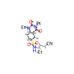 CC[C@@H](CCC#N)NS(=O)(=O)c1ccc2c(c1)c(=O)n(CC)c(=O)n2CC